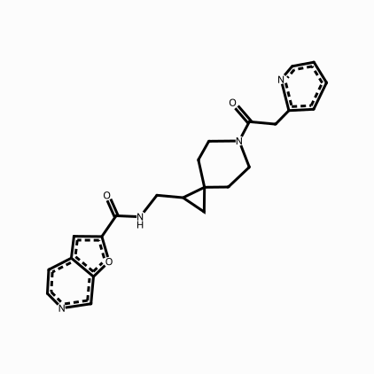 O=C(NCC1CC12CCN(C(=O)Cc1ccccn1)CC2)c1cc2ccncc2o1